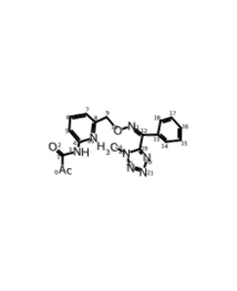 CC(=O)C(=O)Nc1cccc(CON=C(c2ccccc2)c2nnnn2C)n1